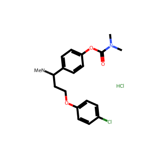 CNC(CCOc1ccc(Cl)cc1)c1ccc(OC(=O)N(C)C)cc1.Cl